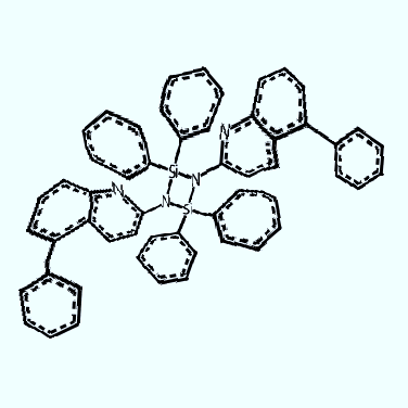 c1ccc(-c2cccc3nc(N4[Si](c5ccccc5)(c5ccccc5)N(c5ccc6c(-c7ccccc7)cccc6n5)[Si]4(c4ccccc4)c4ccccc4)ccc23)cc1